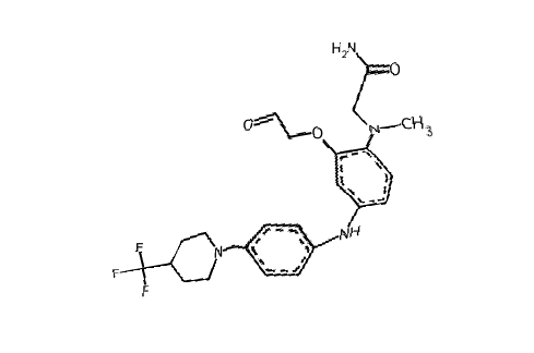 CN(CC(N)=O)c1ccc(Nc2ccc(N3CCC(C(F)(F)F)CC3)cc2)cc1OCC=O